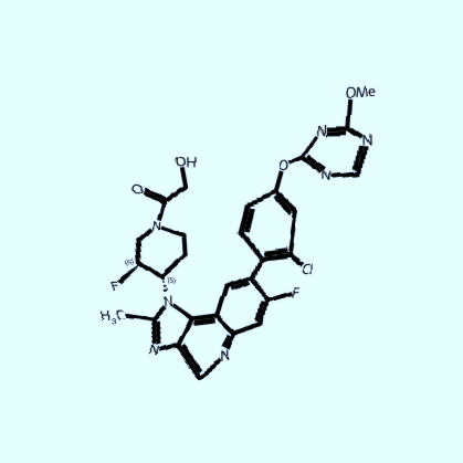 COc1ncnc(Oc2ccc(-c3cc4c(cc3F)ncc3nc(C)n([C@H]5CCN(C(=O)CO)C[C@@H]5F)c34)c(Cl)c2)n1